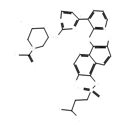 Cc1ccc2c(NS(=O)(=O)CCC(F)F)c(F)ccc2c1Oc1ncccc1-c1ccnc(N[C@H]2C[C@@H](C)CN(C(=O)O)C2)n1